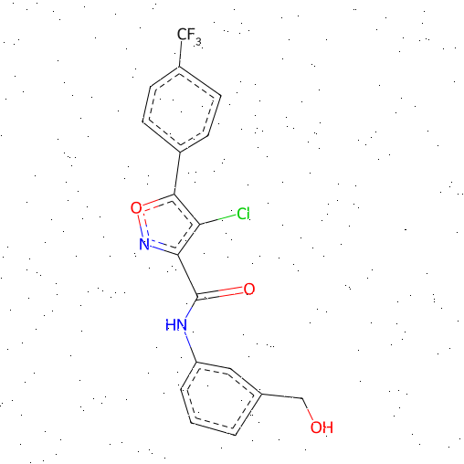 O=C(Nc1cccc(CO)c1)c1noc(-c2ccc(C(F)(F)F)cc2)c1Cl